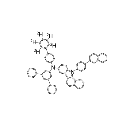 [2H]c1c([2H])c([2H])c(-c2ccc(N(c3cc(-c4ccccc4)cc(-c4ccccc4)c3)c3ccc4c(c3)c3ccc5ccccc5c3n4-c3ccc(-c4ccc5ccccc5c4)cc3)cc2)c([2H])c1[2H]